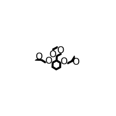 C1CC(OCC2CO2)C(C2COCCO2)C(OCC2CO2)C1